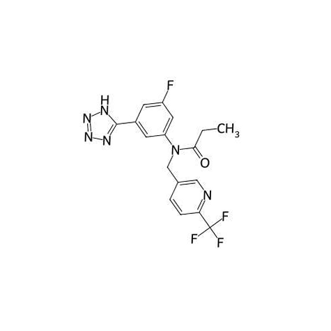 CCC(=O)N(Cc1ccc(C(F)(F)F)nc1)c1cc(F)cc(-c2nnn[nH]2)c1